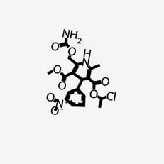 COC(=O)C1=C(COC(N)=O)NC(C)=C(C(=O)OC(C)Cl)C1c1cccc([N+](=O)[O-])c1